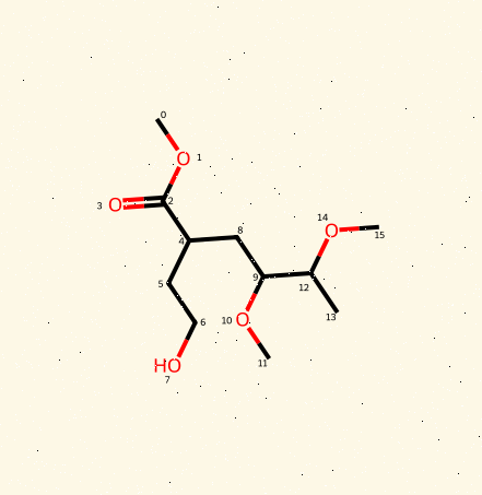 COC(=O)C(CCO)CC(OC)C(C)OC